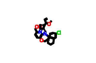 C=C[C@H](OC)[C@@H]1CC[C@H]1CN1C[C@@]2(CCCc3cc(Cl)ccc32)COc2ccc(CO)nc21